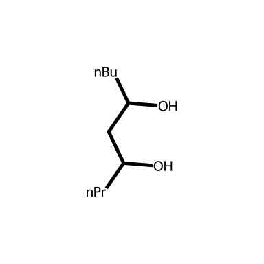 CCCCC(O)CC(O)CCC